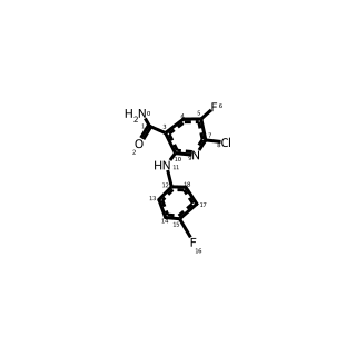 NC(=O)c1cc(F)c(Cl)nc1Nc1ccc(F)cc1